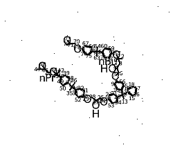 CCCCC(C)(CC(O)COc1ccc(C(C)(c2ccccc2)c2ccc(OCC(O)COc3ccc(C(C)(C)c4ccc(C(C)(CCC)OCC5CO5)cc4)cc3)cc2)cc1)Oc1ccc(C(C)(C)c2ccc(OCC3CO3)cc2)cc1